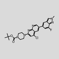 Cn1cc2cc(-c3cnc4nc(N5CCN(C(=O)OC(C)(C)C)CC5)cc(Cl)c4c3)cc(F)c2n1